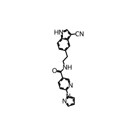 N#Cc1c[nH]c2ccc(CCNC(=O)c3ccc(-n4cccn4)nc3)cc12